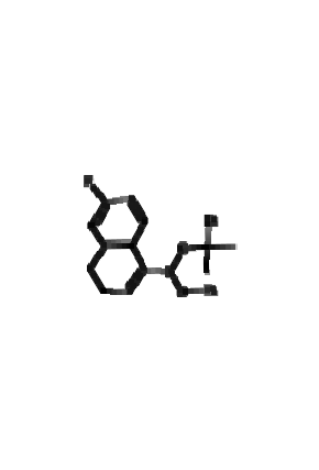 CCOB(OC(C)(C)CC)C1=CCCc2cc(F)ccc21